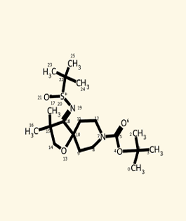 CC(C)(C)OC(=O)N1CCC2(CC1)OCC(C)(C)C2=N[S+]([O-])C(C)(C)C